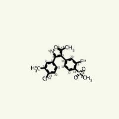 Cc1cc(-c2noc(C)c2-c2ccc(S(C)(=O)=O)c(F)c2)ccc1Cl